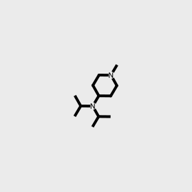 CC(C)N(C(C)C)C1CCN(C)CC1